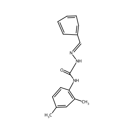 Cc1ccc(NC(=O)NN=Cc2ccccc2)c(C)c1